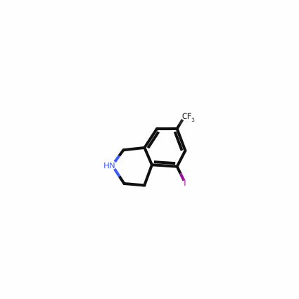 FC(F)(F)c1cc(I)c2c(c1)CNCC2